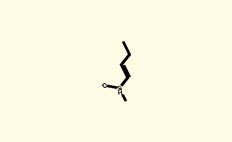 CCC=C[SiH](C)[O]